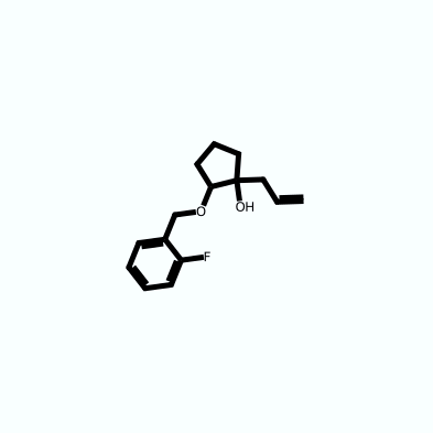 C=CCC1(O)CCCC1OCc1ccccc1F